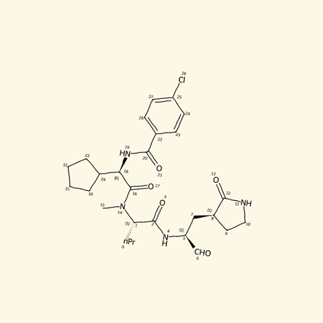 CCC[C@@H](C(=O)N[C@H](C=O)C[C@@H]1CCNC1=O)N(C)C(=O)[C@H](NC(=O)c1ccc(Cl)cc1)C1CCCC1